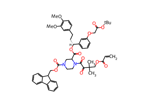 C=CC(=O)OCC(C)(C)C(=O)C(=O)N1CCN(C(=O)OCC2c3ccccc3-c3ccccc32)CC1C(=O)O[C@H](CCc1ccc(OC)c(OC)c1)c1cccc(OCC(=O)OC(C)(C)C)c1